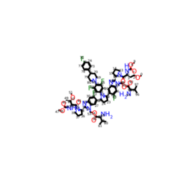 COCC[C@H](NC(=O)OC)C(=O)N1CCC[C@H]1c1nc2cc([C@H]3CC[C@H](c4cc5c(cc4F)nc([C@@H]4CCCN4C(=O)[C@@H](NC(=O)OC)[C@@H](C)OC)n5COC(=O)[C@@H](N)C(C)C)N3c3cc(F)c(N4CCC(c5ccc(F)cc5)CC4)c(F)c3)c(F)cc2n1COC(=O)[C@@H](N)C(C)C